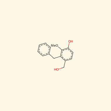 COc1c(O)ccc(CO)c1Cc1ccccc1